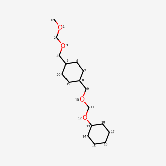 COCOCC1CCC(COCOC2CCCCC2)CC1